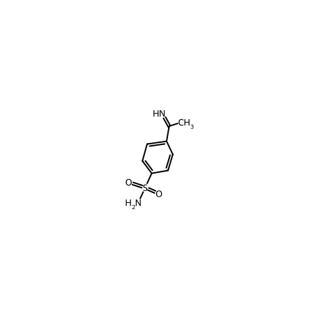 CC(=N)c1ccc(S(N)(=O)=O)cc1